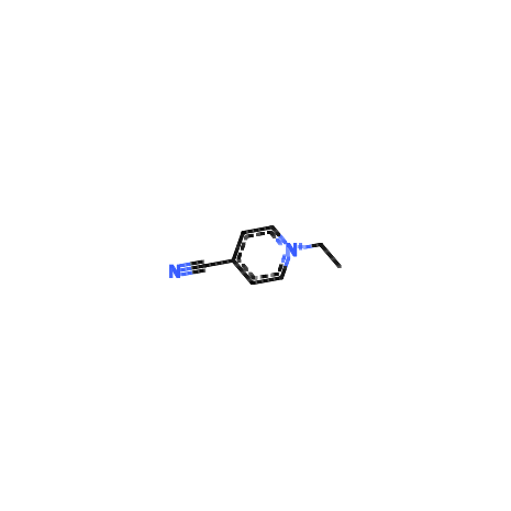 CC[n+]1ccc(C#N)cc1